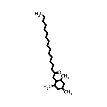 CCCCCCCCCCCCCCCC(=O)CC1C(C)CC(C)CC1C